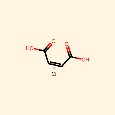 O=C(O)/C=C\C(=O)O.[C]